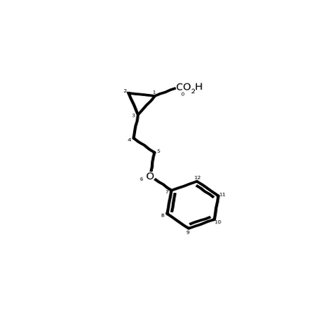 O=C(O)C1CC1CCOc1ccccc1